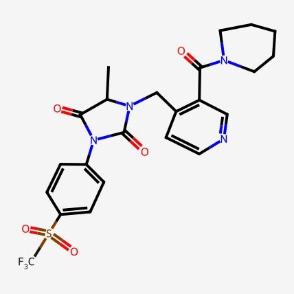 CC1C(=O)N(c2ccc(S(=O)(=O)C(F)(F)F)cc2)C(=O)N1Cc1ccncc1C(=O)N1CCCCC1